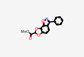 COC(=O)C1Oc2ccc3c(-c4ccccc4)noc3c2O1